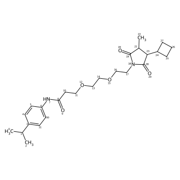 CC(C)c1ccc(NC(=O)CCOCCOCCN2C(=O)C(C)C(C3CCC3)C2=O)cc1